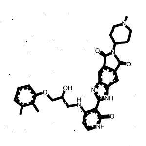 Cc1cccc(OCC(O)CNc2cc[nH]c(=O)c2-c2nc3cc4c(cc3[nH]2)C(=O)N(C2CCN(C)CC2)C4=O)c1C